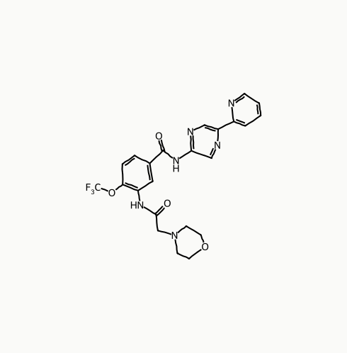 O=C(CN1CCOCC1)Nc1cc(C(=O)Nc2cnc(-c3ccccn3)cn2)ccc1OC(F)(F)F